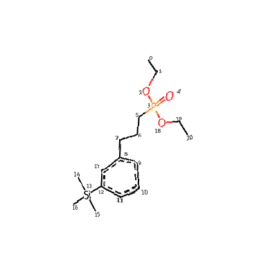 CCOP(=O)(CCCc1cccc([Si](C)(C)C)c1)OCC